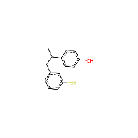 CC(Cc1cccc(S)c1)c1ccc(O)cc1